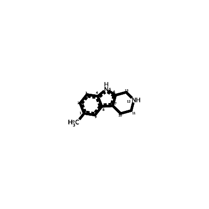 Cc1ccc2[nH]c3c(c2c1)CCNC3